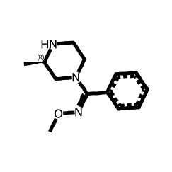 CON=C(c1ccccc1)N1CCN[C@H](C)C1